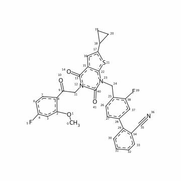 COc1cc(F)ccc1C(=O)Cn1c(=O)c2cc(C3CC3)sc2n(Cc2ccc(-c3ccccc3C#N)cc2F)c1=O